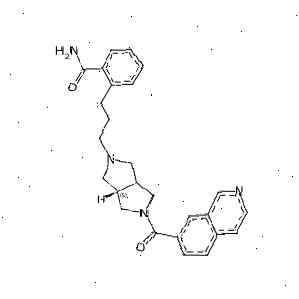 NC(=O)c1ccccc1[CH]CCN1CC2CN(C(=O)c3ccc4ccncc4c3)C[C@@H]2C1